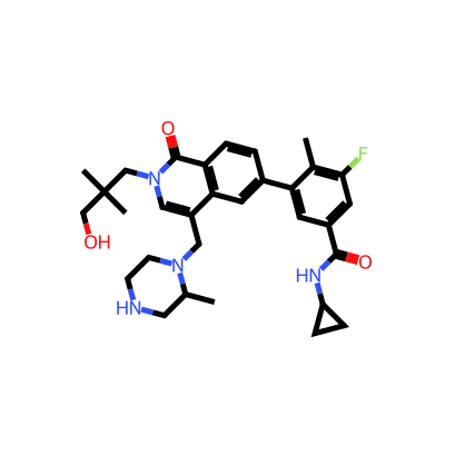 Cc1c(F)cc(C(=O)NC2CC2)cc1-c1ccc2c(=O)n(CC(C)(C)CO)cc(CN3CCNCC3C)c2c1